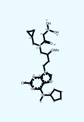 COC(CCn1cnc2c(N(C)C3CCCC3)nc(Cl)nc21)CN(CC1CC1)C(=O)CP(O)O